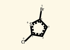 Clc1c[c]c(Br)s1